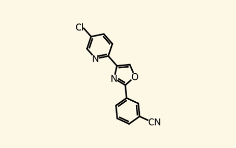 N#Cc1cccc(-c2nc(-c3ccc(Cl)cn3)co2)c1